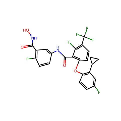 O=C(NO)c1cc(NC(=O)c2c(Oc3ccc(F)cc3C3CC3)ccc(C(F)(F)F)c2F)ccc1F